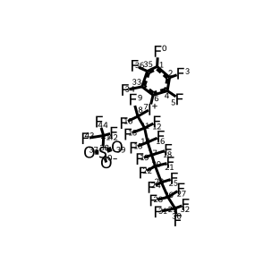 Fc1c(F)c(F)c([I+]C(F)(F)C(F)(F)C(F)(F)C(F)(F)C(F)(F)C(F)(F)C(F)(F)C(F)(F)F)c(F)c1F.O=S(=O)([O-])C(F)(F)F